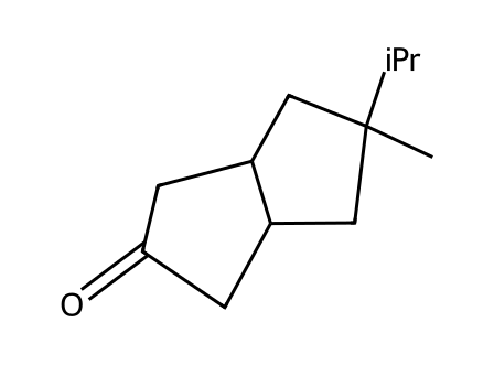 CC(C)C1(C)CC2CC(=O)CC2C1